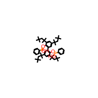 CC(C)(C)CC(C)(C)c1cc(-c2cc(C(C)(C)CC(C)(C)C)cc(C(C)(C)CC(C)(C)C)c2OP(O)c2ccccc2)c(OP(O)c2ccccc2)c(C(C)(C)CC(C)(C)C)c1